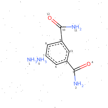 N.N.NC(=O)c1cccc(C(N)=O)c1